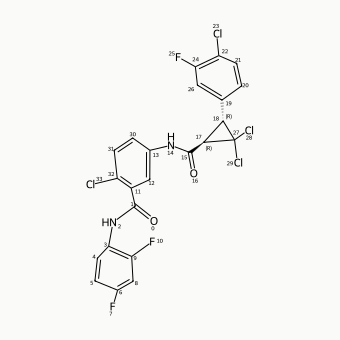 O=C(Nc1ccc(F)cc1F)c1cc(NC(=O)[C@H]2[C@H](c3ccc(Cl)c(F)c3)C2(Cl)Cl)ccc1Cl